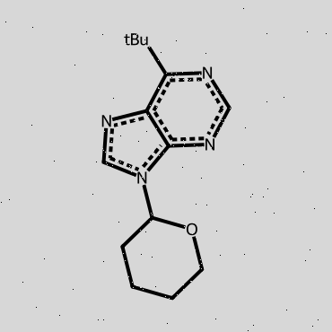 CC(C)(C)c1ncnc2c1ncn2C1CCCCO1